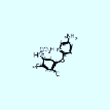 Nc1ccc(Oc2cc(NC(=O)O)c(F)cc2Cl)nc1